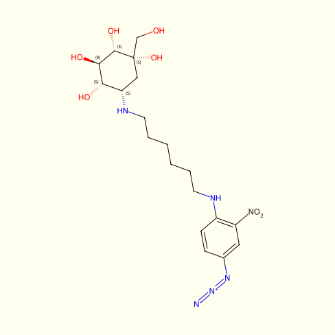 [N-]=[N+]=Nc1ccc(NCCCCCCN[C@H]2C[C@](O)(CO)[C@@H](O)[C@H](O)[C@H]2O)c([N+](=O)[O-])c1